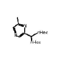 CCCCCCC(CCCCCC)c1cncc(C)n1